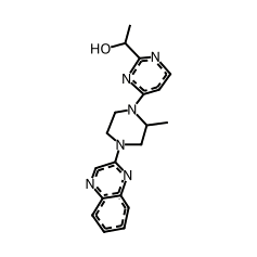 CC(O)c1nccc(N2CCN(c3cnc4ccccc4n3)CC2C)n1